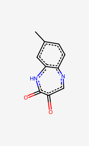 Cc1ccc2ncc(=O)c(=O)[nH]c2c1